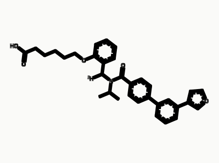 [2H]C(c1ccccc1OCCCCCC(=O)O)N(C(=O)c1ccc(-c2cccc(-c3ccoc3)c2)cc1)C(C)C